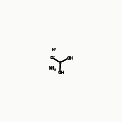 N.[H+].[O-]B(O)O